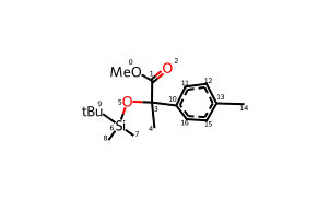 COC(=O)C(C)(O[Si](C)(C)C(C)(C)C)c1ccc(C)cc1